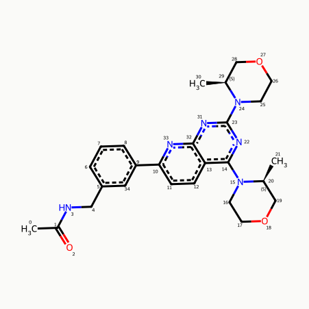 CC(=O)NCc1cccc(-c2ccc3c(N4CCOC[C@@H]4C)nc(N4CCOC[C@@H]4C)nc3n2)c1